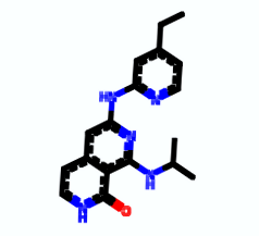 CCc1ccnc(Nc2cc3cc[nH]c(=O)c3c(NC(C)C)n2)c1